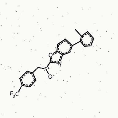 Cc1ccccc1-c1ccc2oc([S+]([O-])Cc3ccc(C(F)(F)F)cc3)nc2c1